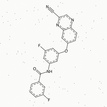 N#Cc1cnc2ccc(Oc3cc(F)cc(NC(=O)c4cccc(F)c4)c3)cc2n1